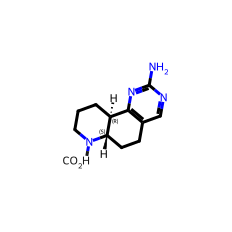 Nc1ncc2c(n1)[C@@H]1CCCN(C(=O)O)[C@H]1CC2